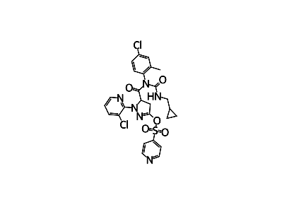 Cc1cc(Cl)ccc1N(C(=O)NCC1CC1)C(=O)C1CC(OS(=O)(=O)c2ccncc2)=NN1c1ncccc1Cl